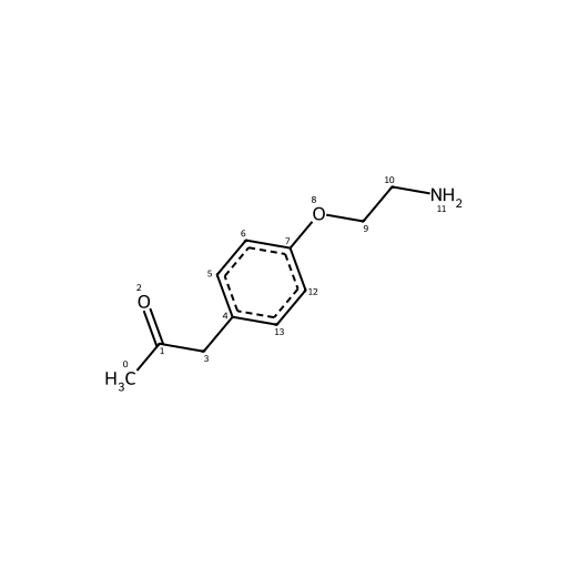 CC(=O)Cc1ccc(OCCN)cc1